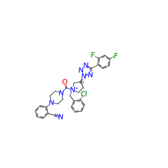 N#Cc1ccccc1N1CCN(C(=O)[N+]2(Cc3ccccc3Cl)CC[C@H](n3nnc(-c4ccc(F)cc4F)n3)C2)CC1